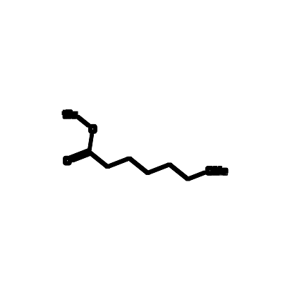 COCCCCCC(=O)OC(C)(C)C